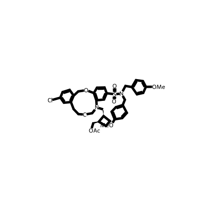 COc1ccc(CN(Cc2ccc(OC)cc2)S(=O)(=O)c2ccc3c(c2)N(C[C@@H]2CC[C@H]2COC(C)=O)CCCCc2cc(Cl)ccc2CO3)cc1